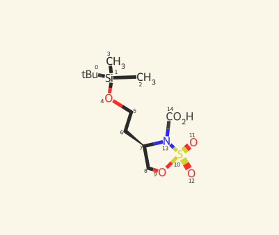 CC(C)(C)[Si](C)(C)OCC[C@@H]1COS(=O)(=O)N1C(=O)O